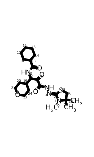 CN1/C(=N/NC(=O)C(=O)C(NC(=O)C2CCCCC2)C2CCOCC2)SCC1(C)C